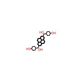 OC1CCC(C(O)c2cc3ccc4cc(C(O)C5CCC(O)CC5)cc5ccc(c2)c3c45)CC1